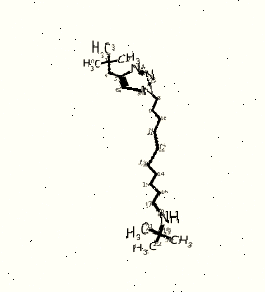 CC(C)(C)Cc1cn(CCCCCCCCCCNC(C)(C)C)nn1